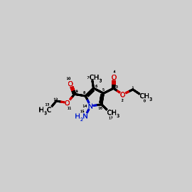 CCOC(=O)c1c(C)c(C(=O)OCC)n(N)c1C